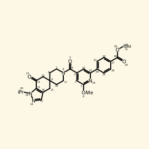 COc1cc(C(=O)N2CCC3(CC2)CC(=O)c2c(cnn2C(C)C)C3)cc(-c2ccc(C(=O)OC(C)(C)C)cc2)n1